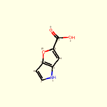 O=C(O)c1cc2[nH]ccc2o1